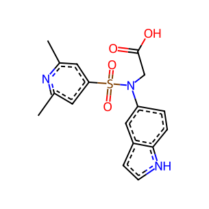 Cc1cc(S(=O)(=O)N(CC(=O)O)c2ccc3[nH]ccc3c2)cc(C)n1